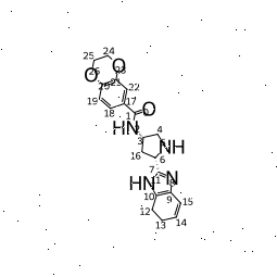 O=C(N[C@@H]1CN[C@H](c2nc3c([nH]2)CCC=C3)C1)c1ccc2c(c1)OCCO2